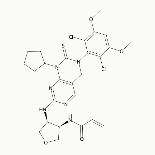 C=CC(=O)N[C@H]1COC[C@H]1Nc1ncc2c(n1)N(C1CCCC1)C(=S)N(c1c(Cl)c(OC)cc(OC)c1Cl)C2